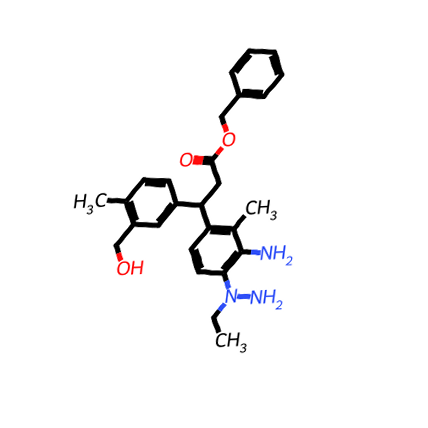 CCN(N)c1ccc(C(CC(=O)OCc2ccccc2)c2ccc(C)c(CO)c2)c(C)c1N